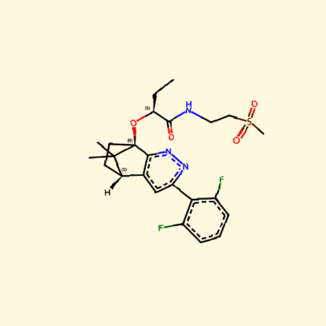 CC[C@H](O[C@@]12CC[C@@H](c3cc(-c4c(F)cccc4F)nnc31)C2(C)C)C(=O)NCCS(C)(=O)=O